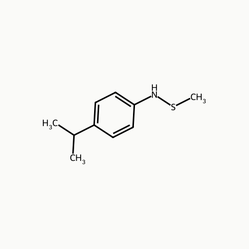 CSNc1ccc(C(C)C)cc1